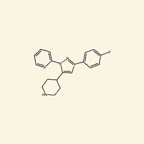 Fc1ccc(-c2cc(C3CCNCC3)n(-c3ccccn3)n2)cc1